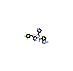 O=C(c1c(F)ccc2c1CCN2)N(CC(O)c1cccnc1)c1cc(Cc2cc(F)c(F)c(F)c2)ccn1